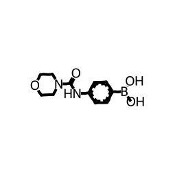 O=C(Nc1ccc(B(O)O)cc1)N1CCOCC1